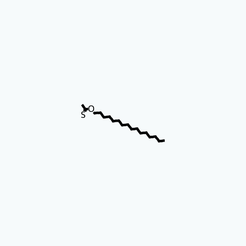 CCCCCCCCCCCCCCCCOC(C)=S